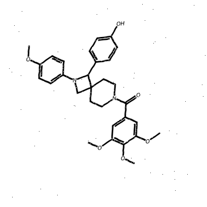 COc1ccc(N2CC3(CCN(C(=O)c4cc(OC)c(OC)c(OC)c4)CC3)C2c2ccc(O)cc2)cc1